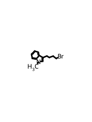 Cn1cc(CCCCBr)c2ccccc21